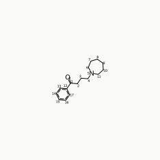 O=C(CCCN1CCCCCC1)c1ccccc1